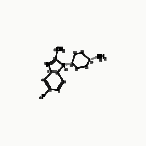 Cc1nc2cc(F)ccc2n1[C@H]1CC[C@@H](N)CC1